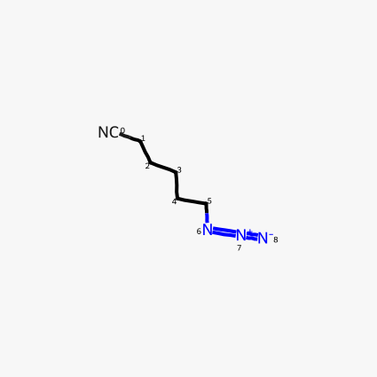 N#CCCCCCN=[N+]=[N-]